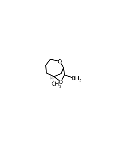 BC1O[C@@]2(C)CCCOC1C2